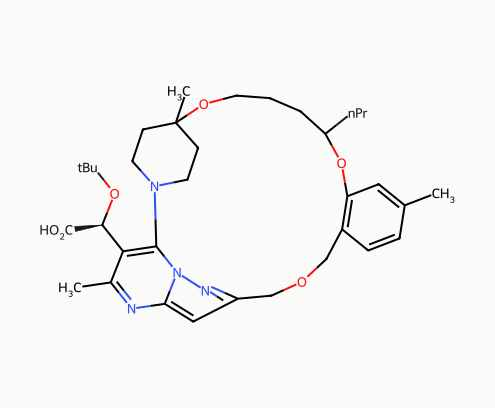 CCCC1CCCOC2(C)CCN(CC2)c2c([C@H](OC(C)(C)C)C(=O)O)c(C)nc3cc(nn23)COCc2ccc(C)cc2O1